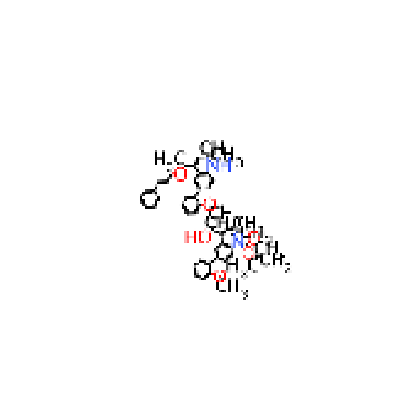 COc1ccccc1-c1ccc2c(c1)C(C(C)O)=CC(C)(C)N2C(=O)OC(C)(C)C.COc1ccccc1-c1ccc2c(c1)C(C(C)OC/C=C/c1ccccc1)=CC(C)(C)N2